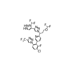 Fc1c(Cl)ccc(-n2cc(C(F)(F)F)nn2)c1-c1ccc(C(CCOC(F)F)n2cc(C3=CNNN3C(F)F)nn2)nc1